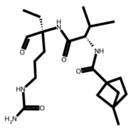 CC[C@@](C=O)(CCCNC(N)=O)NC(=O)[C@@H](NC(=O)C12CCC(C)(C1)C2)C(C)C